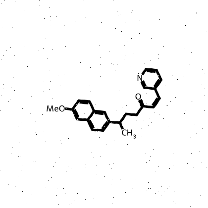 COc1ccc2cc(C(C)CCC(=O)/C=C\c3cccnc3)ccc2c1